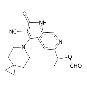 CC(OC=O)c1cc2c(N3CCC4(CC3)CC4)c(C#N)c(=O)[nH]c2cn1